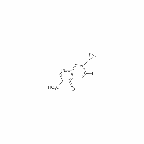 O=C(O)c1c[nH]c2cc(C3CC3)c(I)cc2c1=O